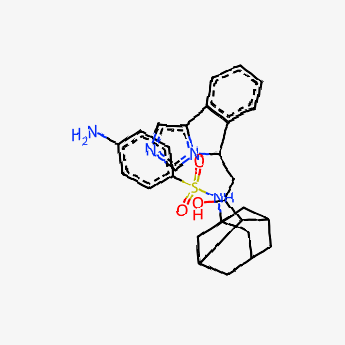 Nc1ccc(S(=O)(=O)NC23CC4CC(C2)C(C(O)CC2c5ccccc5-c5cncn52)C(C4)C3)cc1